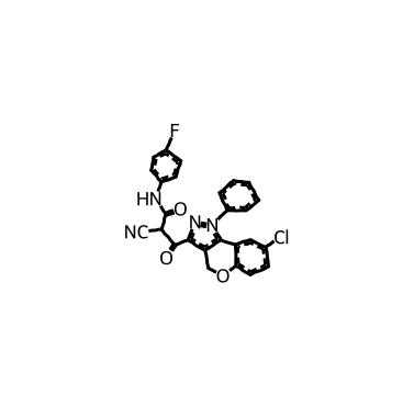 N#CC(C(=O)Nc1ccc(F)cc1)C(=O)c1nn(-c2ccccc2)c2c1COc1ccc(Cl)cc1-2